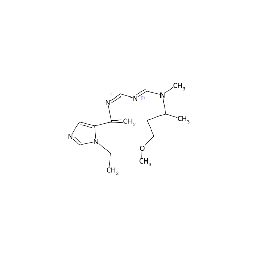 C=C(/N=C\N=C\N(C)C(C)CCOC)c1cncn1CC